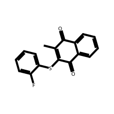 CC1=C(Sc2ccccc2F)C(=O)c2ccccc2C1=O